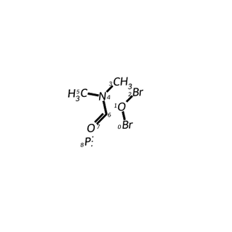 BrOBr.CN(C)C=O.[P]